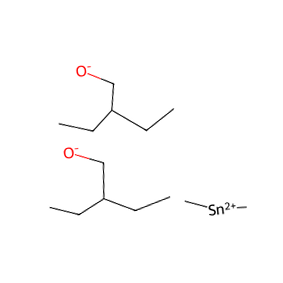 CCC(CC)C[O-].CCC(CC)C[O-].[CH3][Sn+2][CH3]